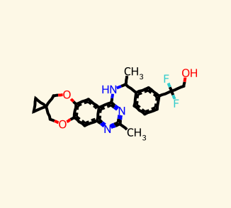 Cc1nc(NC(C)c2cccc(C(F)(F)CO)c2)c2cc3c(cc2n1)OCC1(CC1)CO3